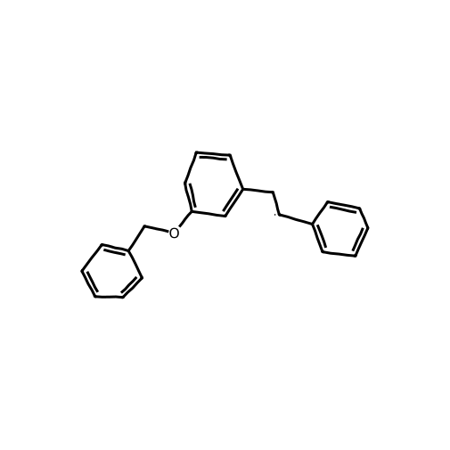 [CH](Cc1cccc(OCc2ccccc2)c1)c1ccccc1